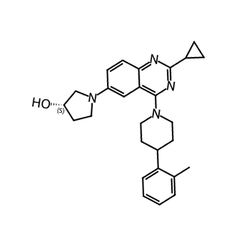 Cc1ccccc1C1CCN(c2nc(C3CC3)nc3ccc(N4CC[C@H](O)C4)cc23)CC1